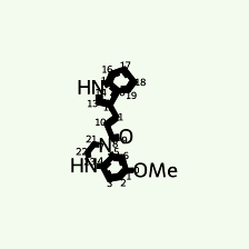 COc1ccc2c(c1)N(C(=O)C=Cc1c[nH]c3ccccc13)CCN2